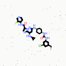 O=C(Nc1cc(Cl)cc(CI)c1)N[C@H]1CC[C@H](Nc2cc(NC3CC3)c3ncc(C(=O)Nc4ccncc4F)n3n2)CC1